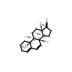 C[C@]12CCCC=C1C=C[C@@H]1[C@@H]2CC[C@]2(C)C(=O)CC[C@@H]12